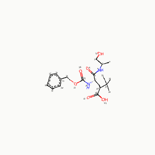 C[C@H](CO)NC(=O)[C@@H](NC(=O)OCc1ccccc1)C(C(=O)O)C(C)(C)C